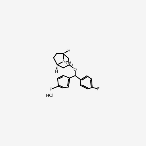 CN1[C@@H]2CC[C@H]1CC(OC(c1ccc(F)cc1)c1ccc(F)cc1)C2.Cl